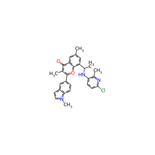 Cc1cc(C(C)Nc2ccc(Cl)nc2C)c2oc(-c3ccc4c(ccn4C)c3)c(C)c(=O)c2c1